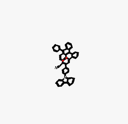 N#Cc1ccc(-c2ccccc2-c2c3ccccc3c(-c3ccccc3)c3ccccc23)cc1-c1ccc(-n2c3ccccc3c3ccccc32)cc1